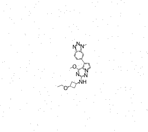 CCO[C@H]1C[C@@H](Nc2nc(OC)c3c(-c4ccc5nnn(C)c5c4)ccn3n2)C1